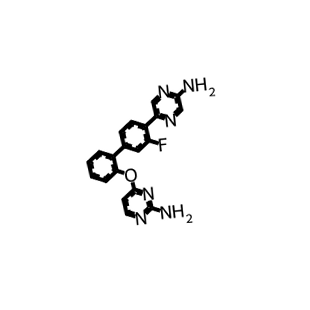 Nc1cnc(-c2ccc(-c3ccccc3Oc3ccnc(N)n3)cc2F)cn1